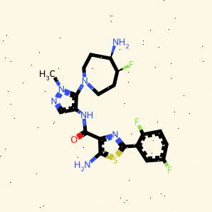 Cn1ncc(NC(=O)c2nc(-c3cc(F)ccc3F)sc2N)c1N1CC[C@@H](N)[C@@H](F)CC1